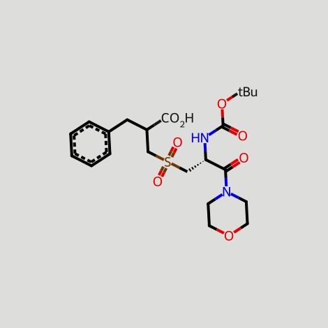 CC(C)(C)OC(=O)N[C@@H](CS(=O)(=O)CC(Cc1ccccc1)C(=O)O)C(=O)N1CCOCC1